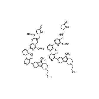 COc1nc(-c2cccc(-c3ccnc(-c4ccc5c6c(n(C)c5c4)CCN(CCO)C6)c3Cl)c2Cl)ccc1CN(C[C@@H]1CCC(=O)N1)C(=O)OC(C)(C)C.COc1nc(-c2cccc(-c3ccnc(-c4ccc5c6c(n(C)c5c4)CCN(CCO)C6)c3Cl)c2Cl)ccc1CNC[C@@H]1CCC(=O)N1